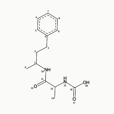 CC(CCc1ccccc1)NC(=O)C(C)NC(=O)O